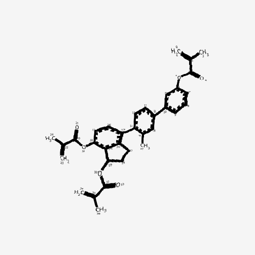 C=C(C)C(=O)Oc1cccc(-c2ccc(-c3ccc(OC(=O)C(=C)C)c4c3CCC4OC(=O)C(=C)C)c(C)c2)c1